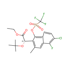 CCOC(=O)[C@@H](OC(C)(C)C)c1c(C)cc2c(F)c(Cl)ccc2c1OS(=O)(=O)C(F)(F)F